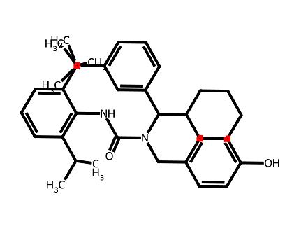 CC(C)c1cccc(C(C)C)c1NC(=O)N(Cc1ccc(O)cc1)C(c1cccc(N(C)C)c1)C1CCCCC1